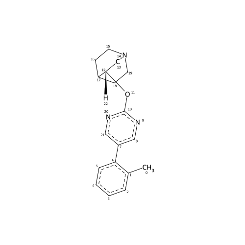 Cc1ccccc1-c1cnc(O[C@H]2CN3CCC2CC3)nc1